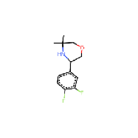 CC1(C)COCC(c2ccc(F)c(F)c2)N1